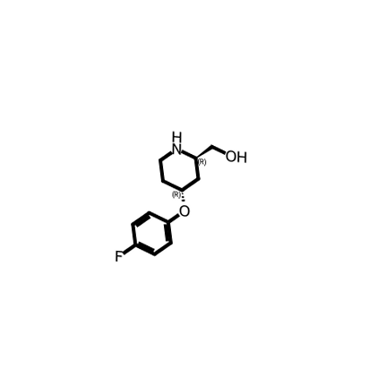 OC[C@H]1C[C@H](Oc2ccc(F)cc2)CCN1